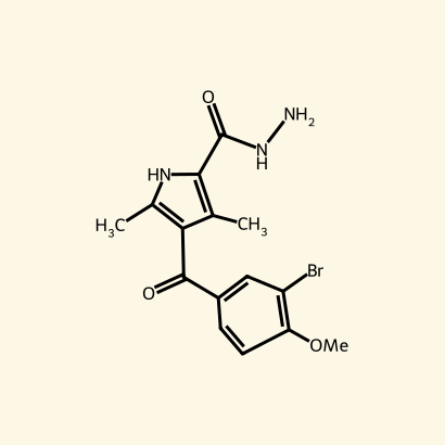 COc1ccc(C(=O)c2c(C)[nH]c(C(=O)NN)c2C)cc1Br